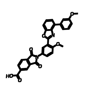 COc1cccc(-c2cccc3oc(-c4cc(N5C(=O)c6ccc(C(=O)O)cc6C5=O)ccc4OC)nc23)c1